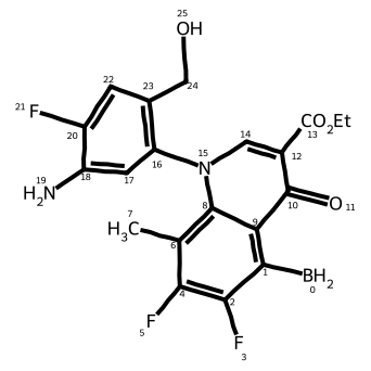 Bc1c(F)c(F)c(C)c2c1c(=O)c(C(=O)OCC)cn2-c1cc(N)c(F)cc1CO